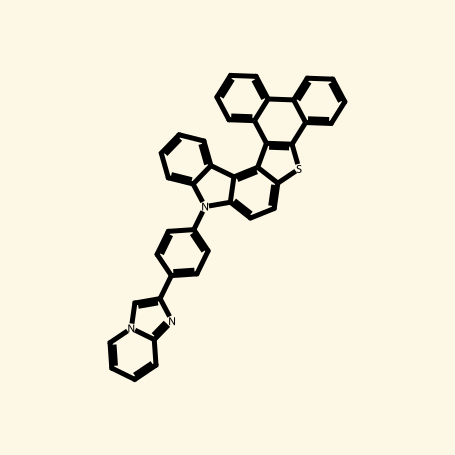 c1ccc2c(c1)c1ccccc1c1c2sc2ccc3c(c4ccccc4n3-c3ccc(-c4cn5ccccc5n4)cc3)c21